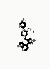 CC1CN(Cc2c[nH]nc2-c2ccnc3[nH]ccc23)CCN1c1ccc(C(F)(F)F)cn1